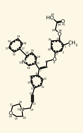 Cc1cc(OCC=C(c2ccc(C#CCN3CCOCC3)cc2)c2ccc(-c3ccccc3)nc2)ccc1OCC(=O)O